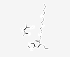 CC(=O)/C=C(/C)O.CCCCOCCOCCOCc1cc2c(cc1CCC)OCO2.[Ta]